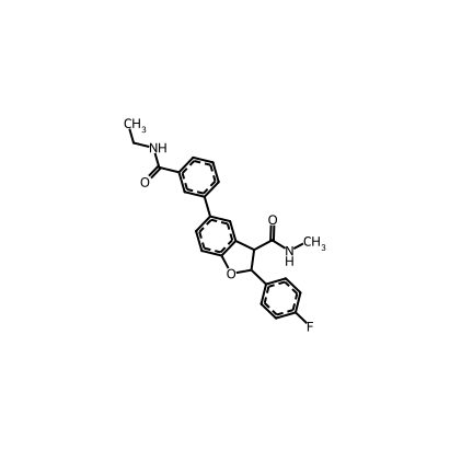 CCNC(=O)c1cccc(-c2ccc3c(c2)C(C(=O)NC)C(c2ccc(F)cc2)O3)c1